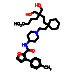 Cc1ccc(-c2ccoc2C(=O)NC2CCN(CCC3(CCC(CO)(CO)CCCC(=O)O)CCCCC3)CC2)cc1